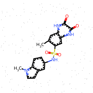 Cc1cc2[nH]c(=O)c(=O)[nH]c2cc1S(=O)(=O)Nc1ccc2c(ccn2C)c1